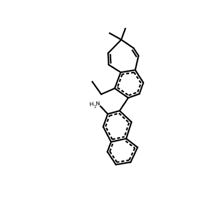 CCc1c(-c2cc3ccccc3cc2N)ccc2c1C=CC(C)(C)C=C2